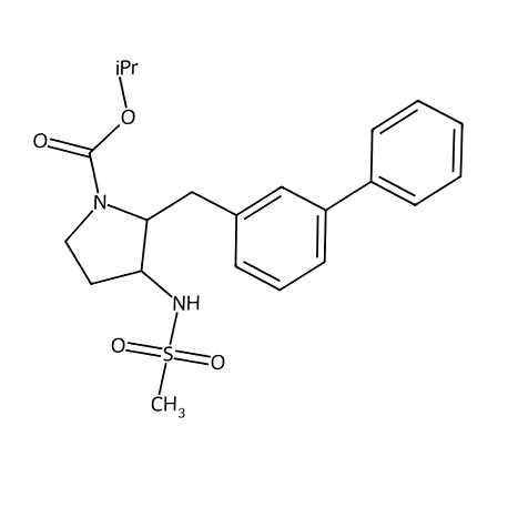 CC(C)OC(=O)N1CCC(NS(C)(=O)=O)C1Cc1cccc(-c2ccccc2)c1